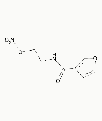 O=C(NCCO[N+](=O)[O-])c1ccoc1